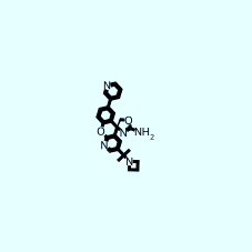 CC(C)(c1cnc2c(c1)[C@]1(COC(N)=N1)c1cc(-c3cccnc3)ccc1O2)N1CCC1